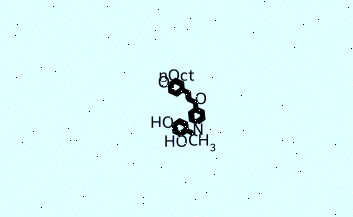 CCCCCCCCOc1ccc(C=CC(=O)c2ccc(N=C(C)c3ccc(O)cc3O)cc2)cc1